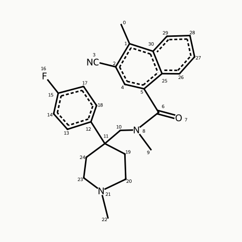 Cc1c(C#N)cc(C(=O)N(C)CC2(c3ccc(F)cc3)CCN(C)CC2)c2ccccc12